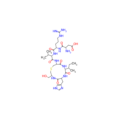 CCC(C)C1NC(=O)C(NC(=O)C(NC(=O)C(CCCNC(=N)N)NC(=O)C(N)CC(=O)O)C(C)C)CSCC(CO)NC(=O)C(Cc2c[nH]cn2)NC1=O